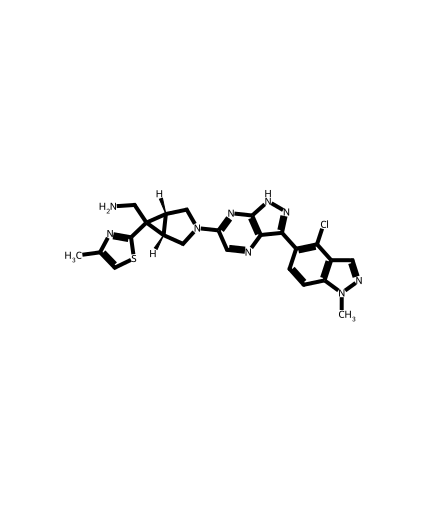 Cc1csc(C2(CN)[C@@H]3CN(c4cnc5c(-c6ccc7c(cnn7C)c6Cl)n[nH]c5n4)C[C@@H]32)n1